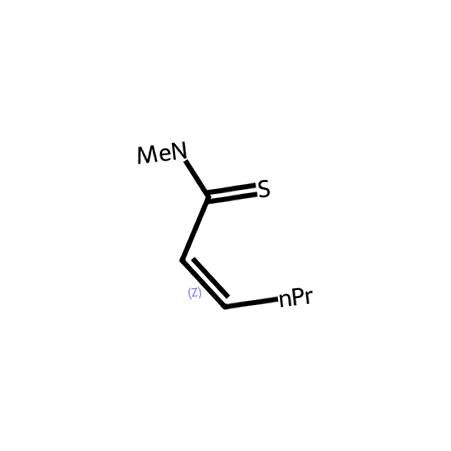 CCC/C=C\C(=S)NC